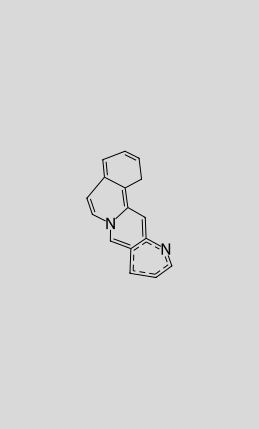 C1=CCC2=C3C=c4ncccc4=CN3C=CC2=C1